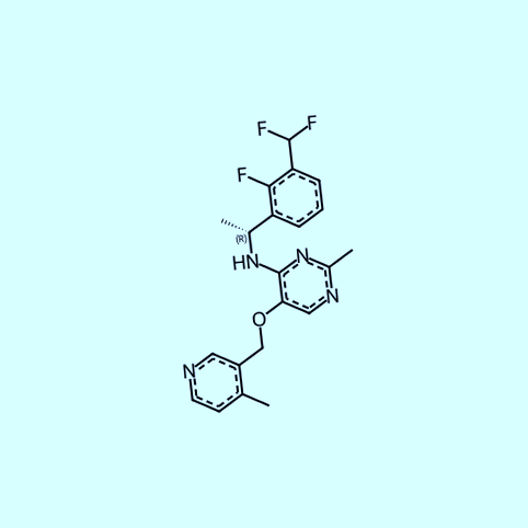 Cc1ncc(OCc2cnccc2C)c(N[C@H](C)c2cccc(C(F)F)c2F)n1